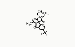 CCOC(=O)C(NC(C)=O)(C(=O)OCC)c1ncc(C(F)(F)F)cc1Cl